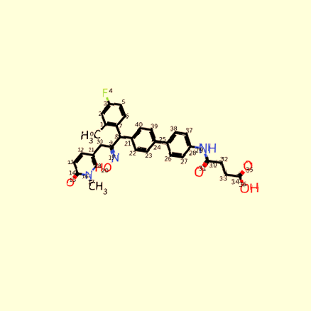 Cc1cc(F)ccc1C(/C(Cc1ccc(=O)n(C)c1)=N/O)c1ccc(-c2ccc(NC(=O)CCC(=O)O)cc2)cc1